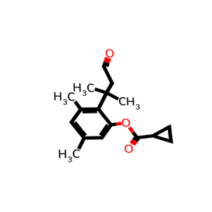 Cc1cc(C)c(C(C)(C)CC=O)c(OC(=O)C2CC2)c1